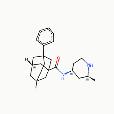 C[C@H]1C[C@@H](NC(=O)C23C[C@@H]4CC(C)(C2)CC(c2ccccc2)(C4)C3)CCN1